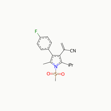 C=C(C#N)c1c(-c2ccc(F)cc2)c(C)n(S(C)(=O)=O)c1C(C)C